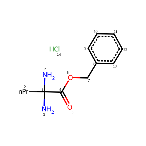 CCCC(N)(N)C(=O)OCc1ccccc1.Cl